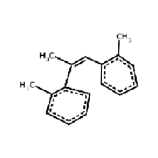 CC(=Cc1ccccc1C)c1ccccc1C